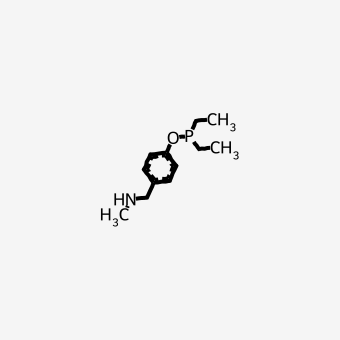 CCP(CC)Oc1ccc(CNC)cc1